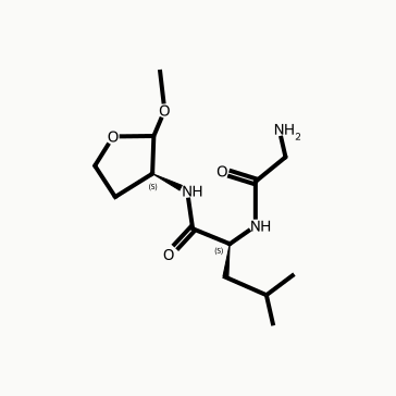 COC1OCC[C@@H]1NC(=O)[C@H](CC(C)C)NC(=O)CN